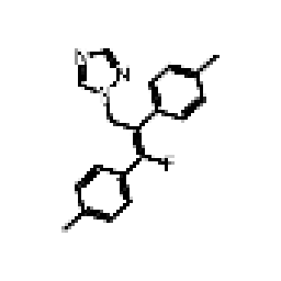 Cc1ccc(/C(F)=C(\Cn2cncn2)c2ccc(C)cc2)cc1